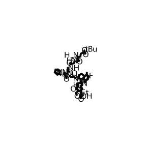 CC[C@@]1(O)C(=O)OCc2c1cc1n(c2=O)Cc2c-1nc1cc(F)c(C)c3c1c2[C@@H](NC(=O)CNC(=O)[C@H](Cc1ccccc1)NC(=O)CNC(=O)CNC(=O)[C@@H](N)CCC(=O)OC(C)(C)C)CC3